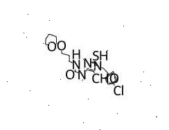 CN(C(=O)NCCCOC1CCCCO1)c1nc(S)n(Cc2ccc(Cl)cc2)c1C=O